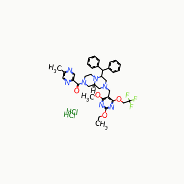 CCOc1nc(OC)c(CN2CC(C(c3ccccc3)c3ccccc3)N3CCN(C(=O)c4cnc(C)cn4)C[C@H]3C2)c(OCC(F)(F)F)n1.Cl.Cl